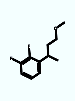 COCC[C](C)c1cccc(F)c1F